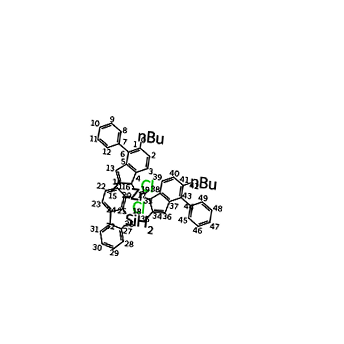 CCCCc1ccc2c(c1-c1ccccc1)C=C(C)[CH]2[Zr]([Cl])([Cl])([c]1cccc2c1[SiH2]c1ccccc1-2)[CH]1C(C)=Cc2c1ccc(CCCC)c2-c1ccccc1